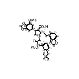 CCCCN(C(=O)CN1C[C@H](c2cc(OC)c3c(c2)OCO3)[C@@H](C(=O)O)[C@@H]1CCc1cccc2c1OCO2)c1cccc(C[N+](C)(C)C)c1